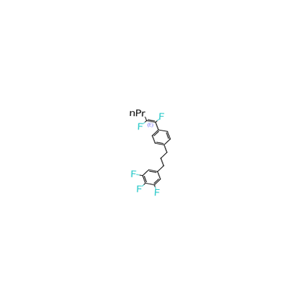 CCC/C(F)=C(\F)c1ccc(CCCc2cc(F)c(F)c(F)c2)cc1